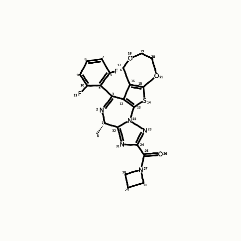 C[C@@H]1N=C(c2c(F)cccc2F)c2c(sc3c2COCCO3)-n2nc(C(=O)N3CCC3)nc21